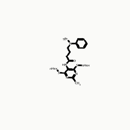 CCCCCCSc1nc(C)nc(SCCCCCC)c1NC(=O)CCCN(CCC)c1ccccc1